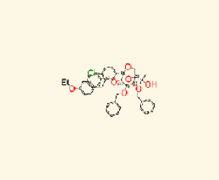 CCOc1ccc(Cc2cc([C@]34OC[C@](C(C)(C)O)(O3)[C@@H](OCc3ccccc3)[C@H](OCc3ccccc3)[C@H]4OCc3ccccc3)ccc2Cl)cc1